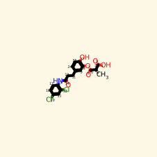 CC(C(=O)O)C(=O)Oc1cc(CCC(=O)Nc2ccc(Cl)cc2Cl)ccc1O